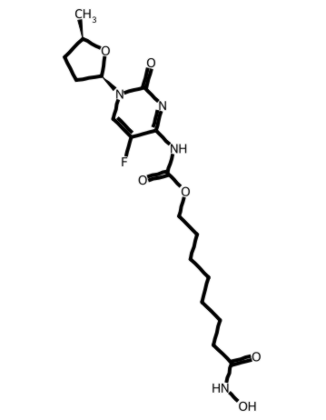 C[C@@H]1CC[C@H](n2cc(F)c(NC(=O)OCCCCCCCC(=O)NO)nc2=O)O1